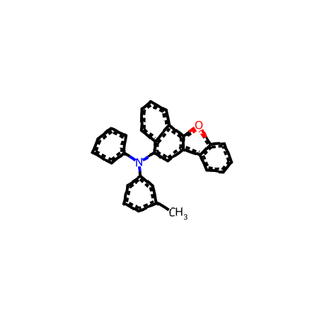 Cc1cccc(N(c2ccccc2)c2cc3c4ccccc4oc3c3ccccc23)c1